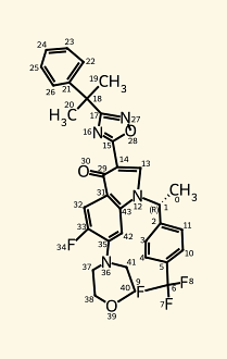 C[C@H](c1ccc(C(F)(F)F)cc1)n1cc(-c2nc(C(C)(C)c3ccccc3)no2)c(=O)c2cc(F)c(N3CCOCC3)cc21